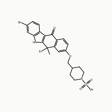 CCC1(C)c2cc(OCC3CCN(S(=O)(=O)C(C)C)CC3)ccc2C(=O)c2c1[nH]c1cc(Br)ccc21